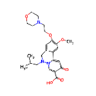 COc1cc2c(cc1OCCN1CCOCC1)CN(CC(C)C)n1cc(C(=O)O)c(=O)cc1-2